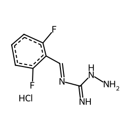 Cl.N=C(N=Cc1c(F)cccc1F)NN